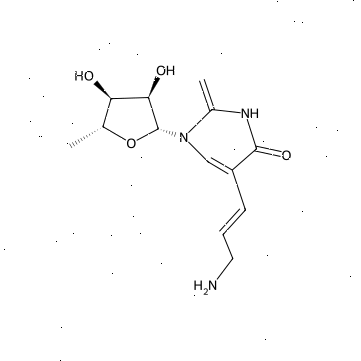 C=C1NC(=O)C(/C=C/CN)=CN1[C@@H]1O[C@H](C)[C@@H](O)[C@H]1O